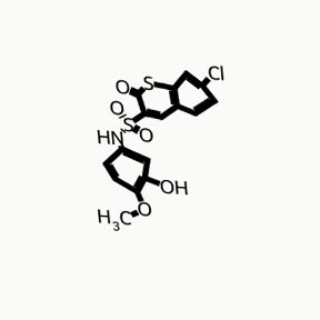 COc1ccc(NS(=O)(=O)c2cc3ccc(Cl)cc3sc2=O)cc1O